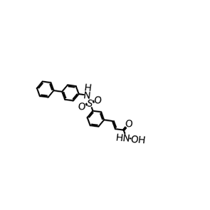 O=C(C=Cc1cccc(S(=O)(=O)Nc2ccc(-c3ccccc3)cc2)c1)NO